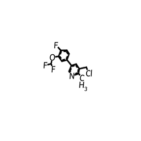 Cc1ncc(-c2ccc(F)c(OC(F)F)c2)cc1CCl